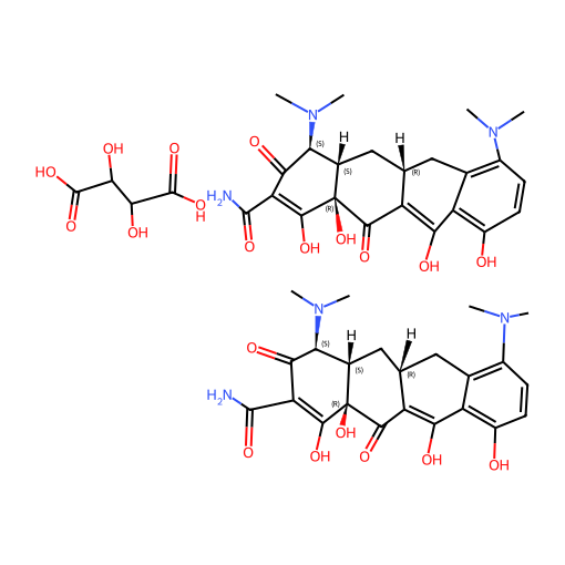 CN(C)c1ccc(O)c2c1C[C@H]1C[C@H]3[C@H](N(C)C)C(=O)C(C(N)=O)=C(O)[C@@]3(O)C(=O)C1=C2O.CN(C)c1ccc(O)c2c1C[C@H]1C[C@H]3[C@H](N(C)C)C(=O)C(C(N)=O)=C(O)[C@@]3(O)C(=O)C1=C2O.O=C(O)C(O)C(O)C(=O)O